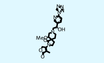 COC1CN(C[C@@H](O)c2ccc(-n3cnnn3)nc2)CCC12CCN(C1=C(C)C(=O)OC1)C2=O